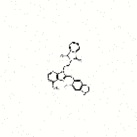 Nc1nccc2c1nc(Sc1cc3c(cc1Br)OCO3)n2CCN1C(=O)c2ccccc2C1=O